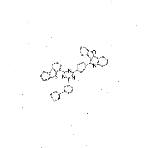 c1ccc(-c2cccc(-c3nc(-c4ccc(-c5nc6ccccc6c6oc7ccccc7c56)cc4)nc(-c4cccc5c4sc4ccccc45)n3)c2)cc1